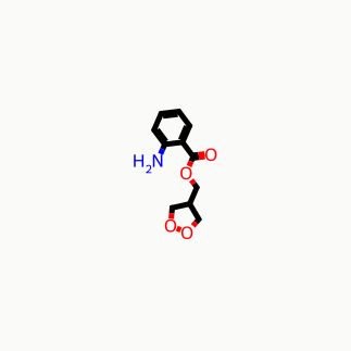 Nc1ccccc1C(=O)OCC1COOC1